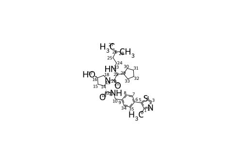 Cc1ncsc1-c1ccc(CNC(=O)[C@@H]2C[C@@H](O)CN2C(=O)C(NCCC(C)C)C2CCCC2)cc1